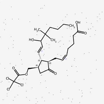 CCCCC(C)(C)C(O)/C=C/[C@H]1[C@H](COC(=O)C(Cl)(Cl)Cl)CC(=O)[C@@H]1C/C=C\CCCC(=O)O